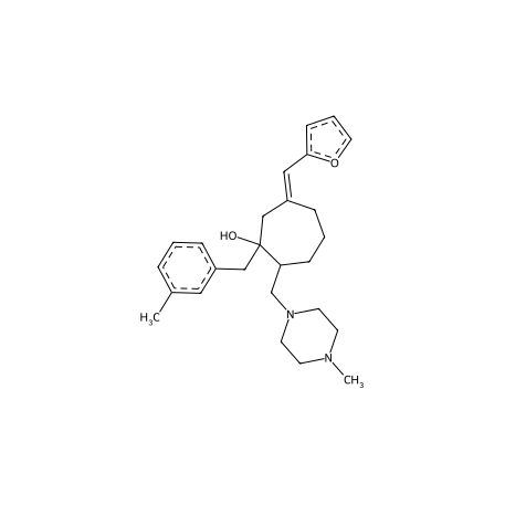 Cc1cccc(CC2(O)CC(=Cc3ccco3)CCCC2CN2CCN(C)CC2)c1